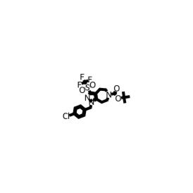 CC(C)(C)OC(=O)N1CCc2c(S(=O)(=O)C(F)(F)F)nn(Cc3ccc(Cl)cc3)c2CC1